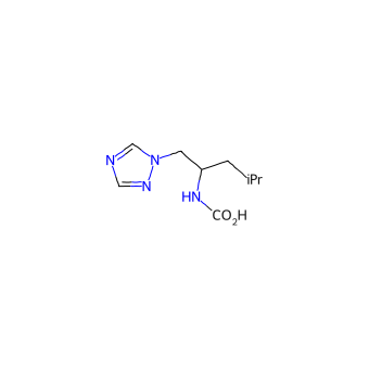 CC(C)CC(Cn1cncn1)NC(=O)O